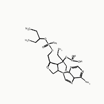 CCC(CC)OP(=O)(O)OCC1OCC(N2C=NC3C(N)=NC=NC32)C1C(CC)(CC)OP(=O)(O)O